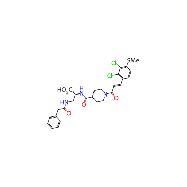 CSc1ccc(/C=C/C(=O)N2CCC(C(=O)N[C@@H](CNC(=O)Cc3ccccc3)C(=O)O)CC2)c(Cl)c1Cl